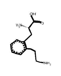 NCCc1ccccc1C[C@H](N)C(=O)O